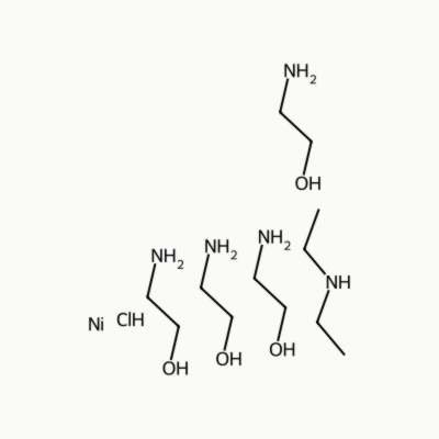 CCNCC.Cl.NCCO.NCCO.NCCO.NCCO.[Ni]